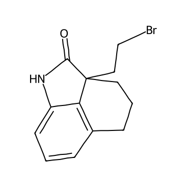 O=C1Nc2cccc3c2C1(CCBr)CCC3